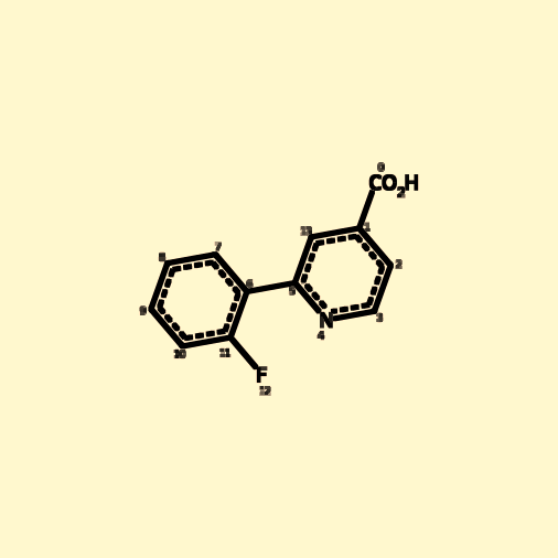 O=C(O)c1ccnc(-c2ccccc2F)c1